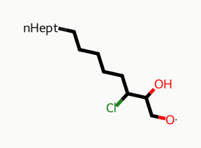 CCCCCCCCCCCCC(Cl)C(O)C[O]